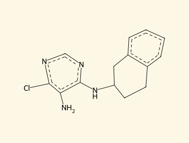 Nc1c(Cl)ncnc1NC1CCc2ccccc2C1